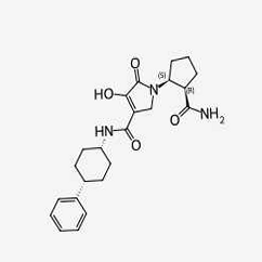 NC(=O)[C@@H]1CCC[C@@H]1N1CC(C(=O)N[C@H]2CC[C@@H](c3ccccc3)CC2)=C(O)C1=O